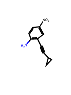 Nc1ccc([N+](=O)[O-])cc1C#CC1CC1